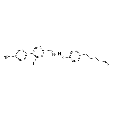 C=CCCCCc1ccc(C=NN=Cc2ccc(-c3ccc(CCC)cc3)c(F)c2)cc1